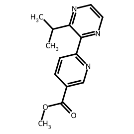 COC(=O)c1ccc(-c2nccnc2C(C)C)nc1